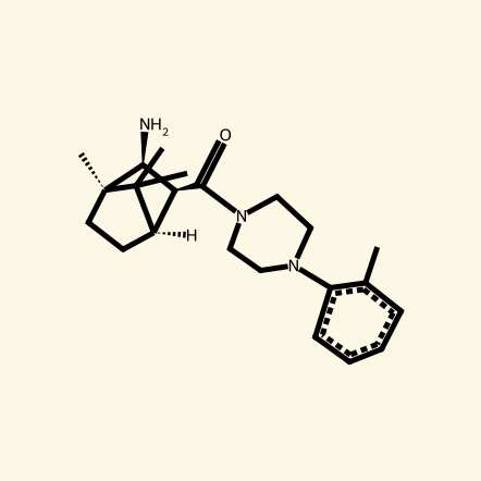 Cc1ccccc1N1CCN(C(=O)[C@H]2[C@H]3CC[C@@](C)([C@H]2N)C3(C)C)CC1